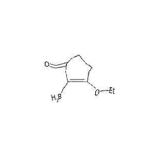 BC1=C(OCC)CCC1=O